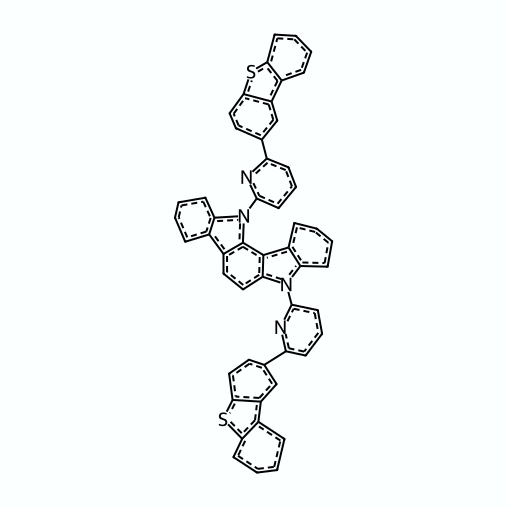 c1cc(-c2ccc3sc4ccccc4c3c2)nc(-n2c3ccccc3c3c2ccc2c4ccccc4n(-c4cccc(-c5ccc6sc7ccccc7c6c5)n4)c23)c1